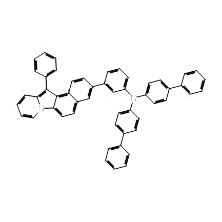 c1ccc(-c2ccc(N(c3ccc(-c4ccccc4)cc3)c3cccc(-c4ccc5c(ccc6c5c(-c5ccccc5)c5ccccn56)c4)c3)cc2)cc1